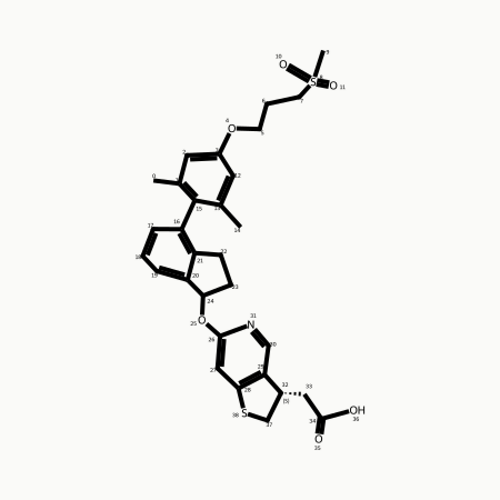 Cc1cc(OCCCS(C)(=O)=O)cc(C)c1-c1cccc2c1CCC2Oc1cc2c(cn1)[C@H](CC(=O)O)CS2